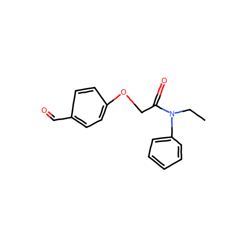 CCN(C(=O)COc1ccc(C=O)cc1)c1ccccc1